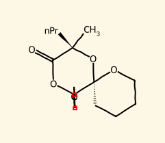 CCC[C@@]1(C)O[C@]2(CCCCO2)[C@@]2(CCCCO2)OC1=O